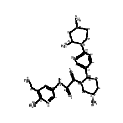 CCc1cc(NC(=O)C(=O)N2C[C@@H](C)CC[C@@H]2c2ccc(N3CCN(C)CC3C)nc2)cnc1N